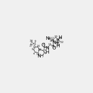 CC1(c2ccc3nccc(C(=O)NCC(=O)N4[C@H](C#N)C[C@@H]5C[C@@H]54)c3c2)CC1